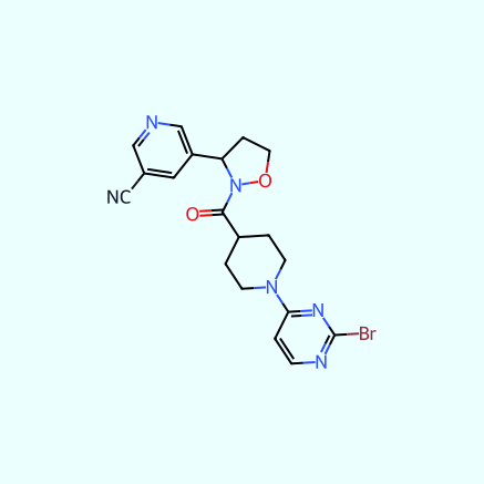 N#Cc1cncc(C2CCON2C(=O)C2CCN(c3ccnc(Br)n3)CC2)c1